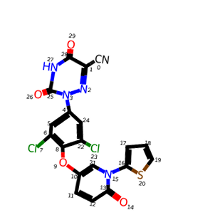 N#Cc1nn(-c2cc(Cl)c(Oc3ccc(=O)n(-c4cccs4)c3)c(Cl)c2)c(=O)[nH]c1=O